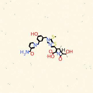 CSc1c2sc(C3=C(C(=O)O)N4C(=O)[C@H]([C@@H](C)O)[C@H]4[C@H]3C)c[n+]2cn1Cc1cc(O)cc(C[n+]2cccc(C(N)=O)c2)c1